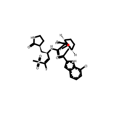 CS(=O)(=O)/C(F)=C\[C@@H](C[C@@H]1CCNC1=O)NC(=O)[C@@H]1[C@H]2CC[C@H](CC2(F)F)N1C(=O)c1cc2cccc(Cl)c2[nH]1